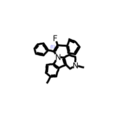 Cc1ccc2c(c1)c1c(n2/C(=C(/F)c2ccccc2)c2ccccc2)CCN(C)C1